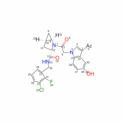 CC(=O)c1cn(CC(=O)N2[C@@H]3C[C@@H]3C[C@H]2C(=O)NCc2cccc(Cl)c2F)c2ccc(O)cc12